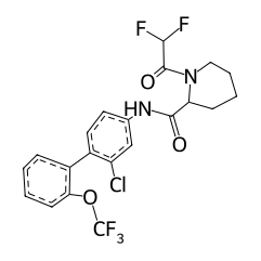 O=C(Nc1ccc(-c2ccccc2OC(F)(F)F)c(Cl)c1)C1CCCCN1C(=O)C(F)F